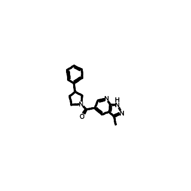 Cc1n[nH]c2ncc(C(=O)N3CCC(c4ccccc4)C3)cc12